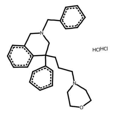 Cl.Cl.c1ccc(CN2Cc3ccccc3C(CCCN3CCOCC3)(c3ccccc3)C2)cc1